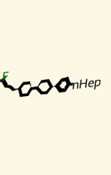 CCCCCCCc1ccc([C@H]2CC[C@H]([C@H]3CC[C@H](CCC=C(F)C#N)CC3)CC2)cc1